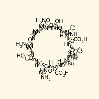 CCCC[C@H]1C(=O)N(C)[C@@H](CCCC)C(=O)N[C@@H](CCC(=O)O)C(=O)N[C@H](C(=O)NCC(N)=O)CSCC(=O)N[C@@H](Cc2ccc(O)cc2)C(=O)N(C)[C@@H](C)C(=O)N[C@@H](CC(N)=O)C(=O)N2CCC[C@H]2C(=O)N[C@@H](CO)C(=O)N[C@@H](CCC(N)=O)C(=O)N2C[C@H](O)C[C@H]2C(=O)N[C@@H](Cc2c[nH]c3ccccc23)C(=O)N[C@@H](CCC(=O)O)C(=O)N[C@@H](Cc2c[nH]c3ccccc23)C(=O)N1C